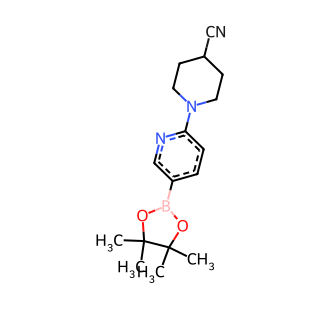 CC1(C)OB(c2ccc(N3CCC(C#N)CC3)nc2)OC1(C)C